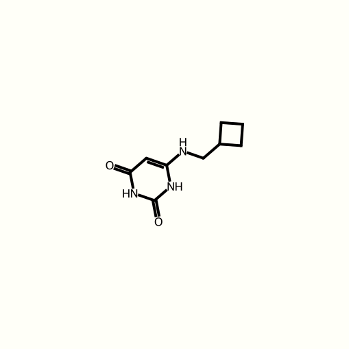 O=c1cc(NCC2CCC2)[nH]c(=O)[nH]1